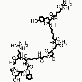 CC(C)(N)NC(=O)CCCC(=O)NC(Cc1ccc(O)cc1)C(=O)NCCCCCC(=O)NC(CSC1CC(=O)N(CCC(=O)NCCCCC2NC(=O)[C@@H](Cc3ccccc3)NC(=O)C(CC(=O)O)NC(=O)CNC(=O)C(CCCNC(=N)N)NC2=O)C1=O)C(N)=O